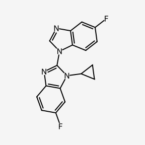 Fc1ccc2c(c1)ncn2-c1nc2ccc(F)cc2n1C1CC1